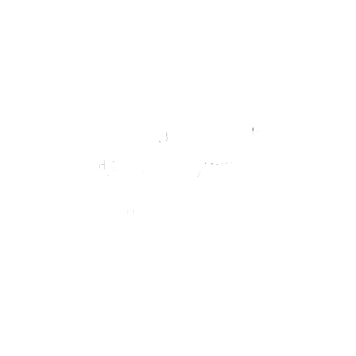 CC(C)CCCC(C)C(C)Cl